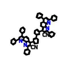 N#Cc1c(-c2ccccc2)nc2c(ccc3c(-c4ccccc4)cc(-c4ccccc4)nc32)c1-c1cccc(-c2cccc(-c3c(C#N)c(-c4ccccc4)nc4c3ccc3c(-c5ccccc5)cc(-c5ccccc5)nc34)c2)c1